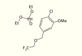 CCO[PH](=O)OCC.COc1cc(COCC(F)(F)F)ccc1Cl